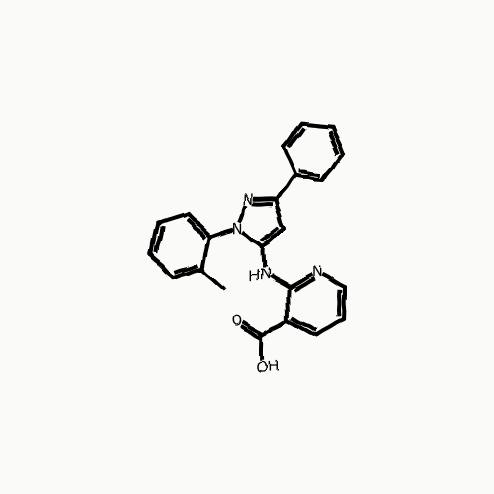 Cc1ccccc1-n1nc(-c2ccccc2)cc1Nc1ncccc1C(=O)O